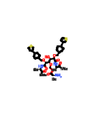 CC[C@H](C)[C@H](N)C(=O)OCO[C@H]([C@@H](O)[C@@H](OCc1ccc(-c2ccsc2)cc1)C(=O)N[C@H](C(=O)NC)C(C)(C)C)[C@@H](OCc1ccc(-c2ccsc2)cc1)C(=O)N[C@H](C(=O)NC)C(C)(C)C